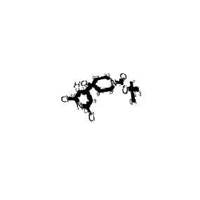 CC(C)(C)OC(=O)N1CCC(O)(c2cc(Cl)nc(Cl)c2)CC1